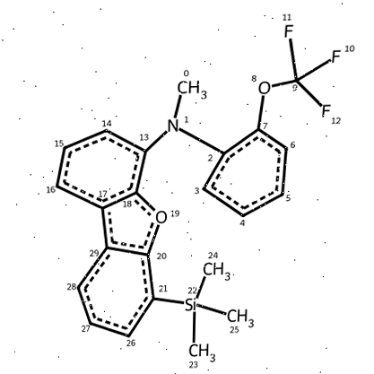 CN(c1ccccc1OC(F)(F)F)c1cccc2c1oc1c([Si](C)(C)C)cccc12